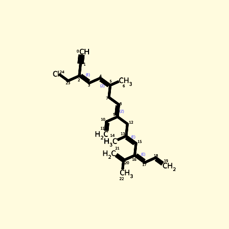 C#C/C(=C\C=C(\C)C/C=C(\C=C)C/C(C)=C/C(=C\C=C)C(=C)C)CCl